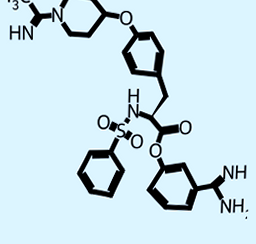 CC(=N)N1CCC(Oc2ccc(C[C@H](NS(=O)(=O)c3ccccc3)C(=O)Oc3cccc(C(=N)N)c3)cc2)CC1